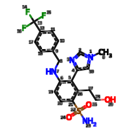 Cn1cnc(-c2c(NCc3ccc(C(F)(F)F)cc3)ccc(S(N)(=O)=O)c2CCO)c1